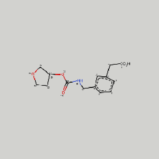 O=C(O)Cc1cccc(CNC(=O)O[C@H]2CCOC2)c1